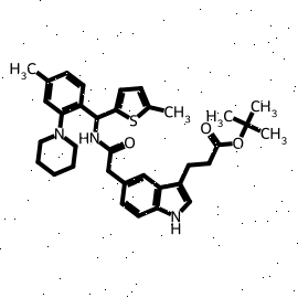 Cc1ccc(C(NC(=O)Cc2ccc3[nH]cc(CCC(=O)OC(C)(C)C)c3c2)c2ccc(C)s2)c(N2CCCCC2)c1